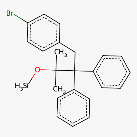 CC(C)(O[SiH3])C(Cc1ccc(Br)cc1)(c1ccccc1)c1ccccc1